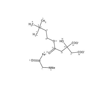 CNC[C](=O)[Fe+].C[N+](C)(C)CCOC(=O)CC(O)(CC(=O)[O-])C(=O)[O-]